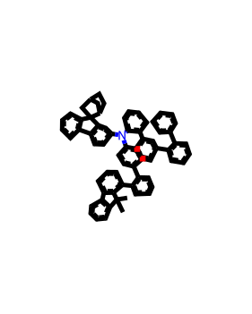 CC1(C)c2ccccc2-c2cccc(-c3ccccc3-c3ccc(N(c4ccc5c(c4)C4(CC6CCC4C6)c4ccccc4-5)c4ccccc4-c4cccc(-c5ccccc5-c5ccccc5)c4)cc3)c21